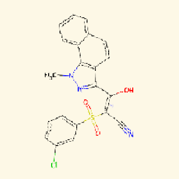 Cn1nc(/C(O)=C(/C#N)S(=O)(=O)c2cccc(Cl)c2)c2ccc3ccccc3c21